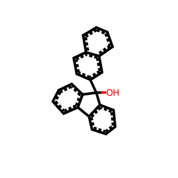 OC1(c2ccc3ccccc3c2)c2ccccc2-c2ccccc21